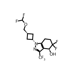 O[C@H]1c2c(C(F)(F)F)nn([C@H]3C[C@H](COC(F)F)C3)c2CCC1(F)F